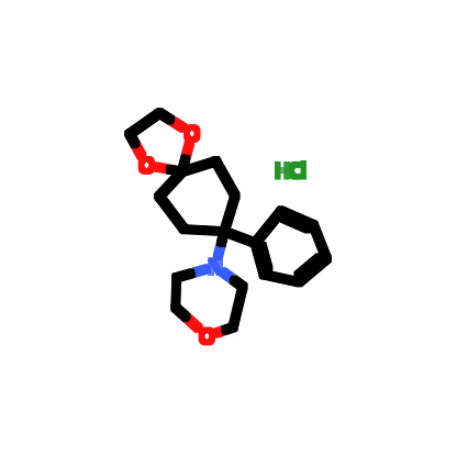 Cl.c1ccc(C2(N3CCOCC3)CCC3(CC2)OCCO3)cc1